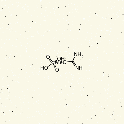 COC(=N)N.O=S(=O)(O)O